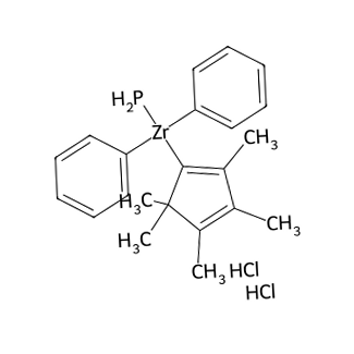 CC1=C(C)C(C)(C)[C]([Zr]([PH2])([c]2ccccc2)[c]2ccccc2)=C1C.Cl.Cl